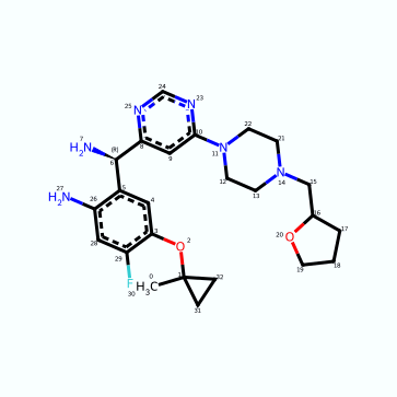 CC1(Oc2cc([C@@H](N)c3cc(N4CCN(CC5CCCO5)CC4)ncn3)c(N)cc2F)CC1